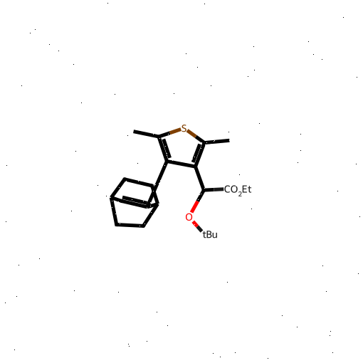 CCOC(=O)C(OC(C)(C)C)c1c(C)sc(C)c1C1=CC2CCC1CC2